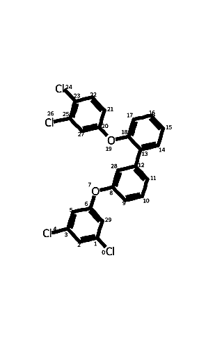 Clc1cc(Cl)cc(Oc2cccc(-c3cc[c]cc3Oc3ccc(Cl)c(Cl)c3)c2)c1